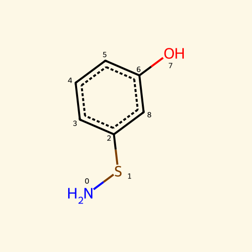 NSc1cccc(O)c1